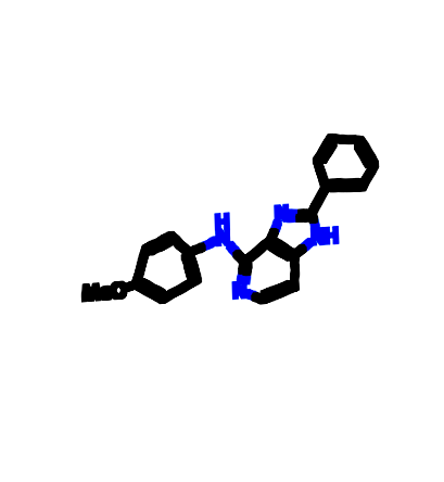 COc1ccc(Nc2nccc3[nH]c(-c4ccccc4)nc23)cc1